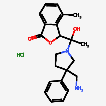 Cc1cccc2c1C(C(C)(O)N1CCC(CN)(c3ccccc3)C1)OC2=O.Cl